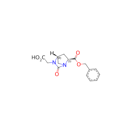 O=C(O)CN1C(=O)N2C[C@H]1C[C@H]2C(=O)OCc1ccccc1